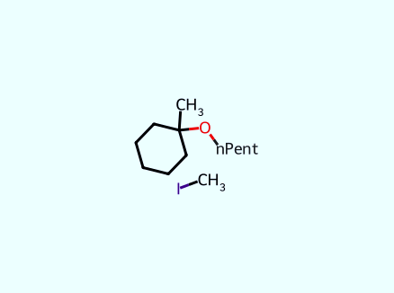 CCCCCOC1(C)CCCCC1.CI